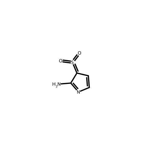 NC1=NC=CC1=S(=O)=O